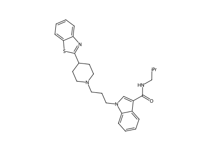 CC(C)CNC(=O)c1cn(CCCN2CCC(c3nc4ccccc4s3)CC2)c2ccccc12